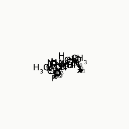 CN(C)c1nccc(-c2[nH]c(C3OCC(C)(C(=O)NCC4CC4)CO3)nc2-c2ccc(F)cc2)n1